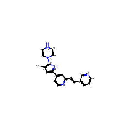 N#Cc1cc(-c2ccnc(/C=C/c3cccnc3)c2)[nH]c1N1CCNCC1